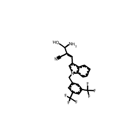 N#C/C(=C\c1cn(Cc2cc(C(F)(F)F)cc(C(F)(F)F)c2)c2ccccc12)C(N)O